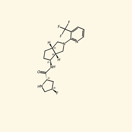 O=C(N[C@H]1CC[C@@H]2CN(c3ncccc3C(F)(F)F)C[C@@H]21)[C@@H]1C[C@@H](F)CN1